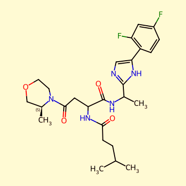 CC(C)CCC(=O)NC(CC(=O)N1CCOC[C@@H]1C)C(=O)NC(C)c1ncc(-c2ccc(F)cc2F)[nH]1